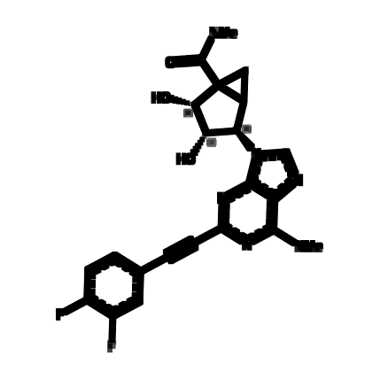 CNC(=O)C12CC1[C@@H](n1cnc3c(NC)nc(C#Cc4ccc(F)c(F)c4)nc31)[C@H](O)[C@@H]2O